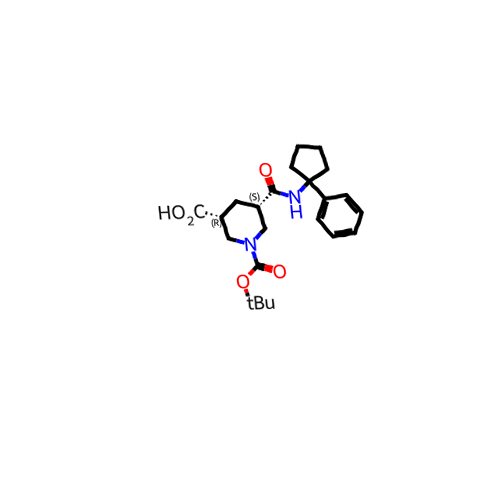 CC(C)(C)OC(=O)N1C[C@H](C(=O)O)C[C@H](C(=O)NC2(c3ccccc3)CCCC2)C1